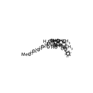 COCCOCCOCCOCCC(=O)O[C@H]1CC[C@]2(C)[C@H]3C(O)C=C4[C@@H]5C[C@@](C)(C(=O)OCc6ccccc6)CC[C@]5(C)CC[C@@]4(C)[C@]3(C)CC[C@H]2[C@]1(C)C=O